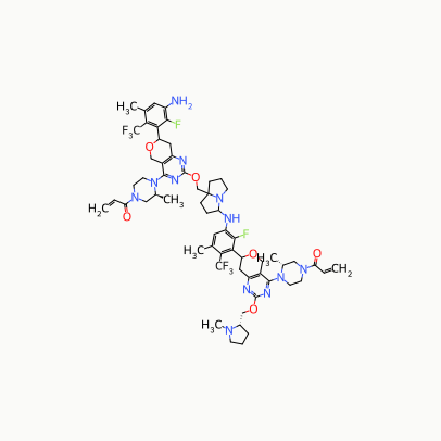 C=CC(=O)N1CCN(c2nc(OC[C@@H]3CCCN3C)nc3c2COC(c2c(F)c(NC4CCC5(COc6nc7c(c(N8CCN(C(=O)C=C)C[C@@H]8C)n6)COC(c6c(F)c(N)cc(C)c6C(F)(F)F)C7)CCCN45)cc(C)c2C(F)(F)F)C3)[C@H](C)C1